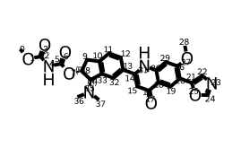 COC(=O)NC(=O)O[C@@H]1Cc2ccc(-c3cc(=O)c4cc(-c5cnco5)c(OC)cc4[nH]3)cc2[C@H]1N(C)C